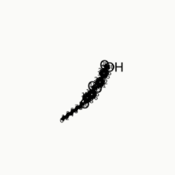 CCCCCCCCCCOc1ccc2cc(C(=O)Oc3ccc(-c4ccc(C(=O)O)cc4)cc3)ccc2c1